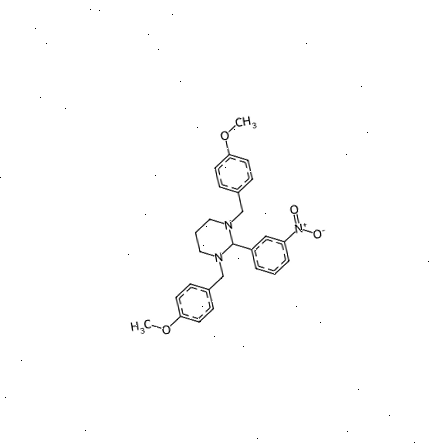 COc1ccc(CN2CCCN(Cc3ccc(OC)cc3)C2c2cccc([N+](=O)[O-])c2)cc1